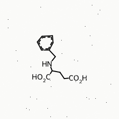 O=C(O)CCC(NCc1ccccc1)C(=O)O